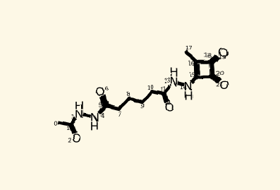 CC(=O)NNC(=O)CCCCC(=O)NNc1c(C)c(=O)c1=O